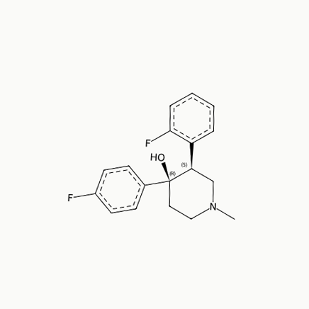 CN1CC[C@](O)(c2ccc(F)cc2)[C@@H](c2ccccc2F)C1